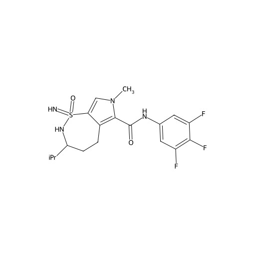 CC(C)C1CCc2c(cn(C)c2C(=O)Nc2cc(F)c(F)c(F)c2)S(=N)(=O)N1